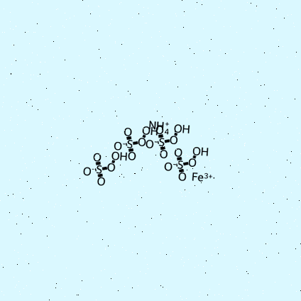 O=S(=O)([O-])OO.O=S(=O)([O-])OO.O=S(=O)([O-])OO.O=S(=O)([O-])OO.[Fe+3].[NH4+]